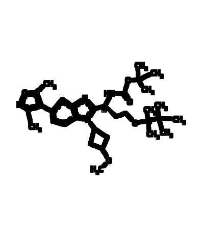 COC1CC(n2c([C@H](CCO[Si](C)(C)C(C)(C)C)NC(=O)OC(C)(C)C)nc3cc(-c4c(C)noc4C)ccc32)C1